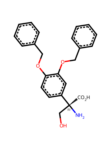 N[C@@](CO)(C(=O)O)c1ccc(OCc2ccccc2)c(OCc2ccccc2)c1